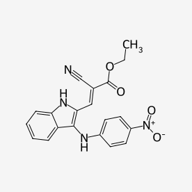 CCOC(=O)/C(C#N)=C/c1[nH]c2ccccc2c1Nc1ccc([N+](=O)[O-])cc1